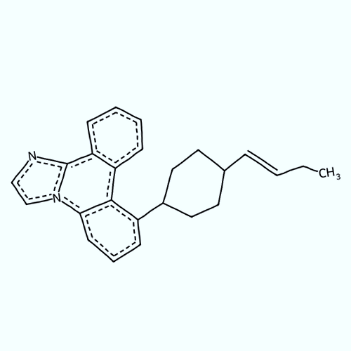 CC/C=C/C1CCC(c2cccc3c2c2ccccc2c2nccn32)CC1